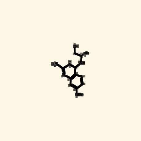 CCC[C@@H](CO)NC1NC(N)=Nc2cc(OC)cnc21